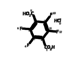 Cl.O=C(O)c1c(F)c(F)c(C(=O)O)c(F)c1F